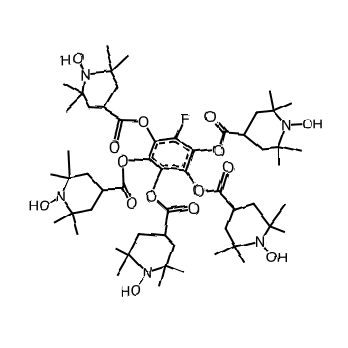 CC1(C)CC(C(=O)Oc2c(F)c(OC(=O)C3CC(C)(C)N(O)C(C)(C)C3)c(OC(=O)C3CC(C)(C)N(O)C(C)(C)C3)c(OC(=O)C3CC(C)(C)N(O)C(C)(C)C3)c2OC(=O)C2CC(C)(C)N(O)C(C)(C)C2)CC(C)(C)N1O